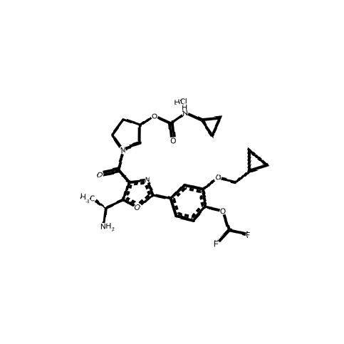 C[C@H](N)c1oc(-c2ccc(OC(F)F)c(OCC3CC3)c2)nc1C(=O)N1CCC(OC(=O)NC2CC2)C1.Cl